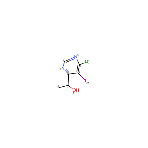 CC(O)c1ncnc(Cl)c1I